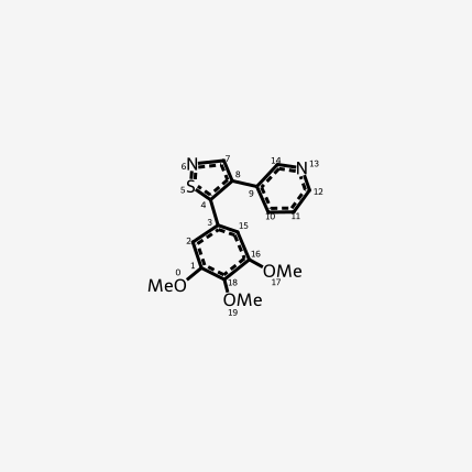 COc1cc(-c2sncc2-c2cccnc2)cc(OC)c1OC